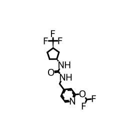 O=C(NCc1ccnc(OC(F)F)c1)N[C@H]1CC[C@@H](C(F)(F)F)C1